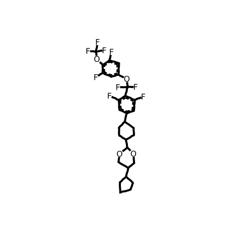 Fc1cc(OC(F)(F)c2c(F)cc(C3CCC(C4OCC(C5CCCC5)CO4)CC3)cc2F)cc(F)c1OC(F)(F)F